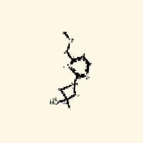 COCc1ccnc(N2CC(C)(O)C2)n1